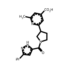 Cc1cc(C(=O)O)cc(C2CCN(C(=O)c3cc(C(C)C)n[nH]3)C2)n1